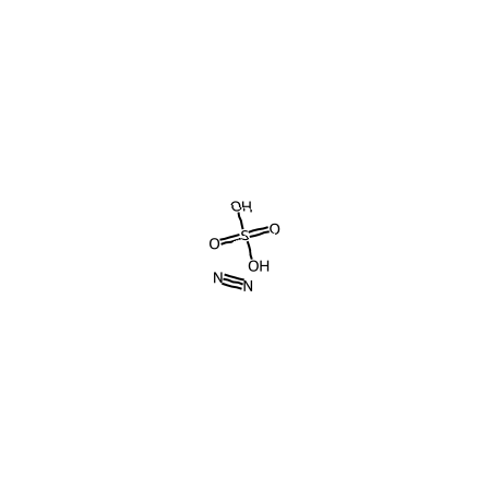 N#N.O=S(=O)(O)O